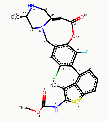 CC(C)(C)OC(=O)Nc1sc2cccc(-c3c(Cl)cc4c(c3F)OC(=O)C=C3CN[C@H](C(=O)O)CN3C4)c2c1C#N